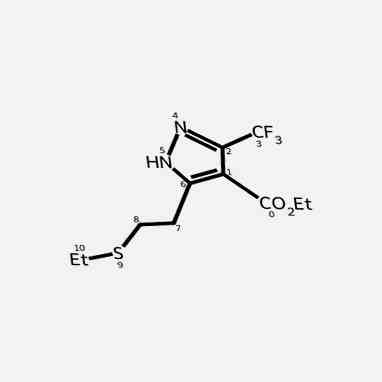 CCOC(=O)c1c(C(F)(F)F)n[nH]c1CCSCC